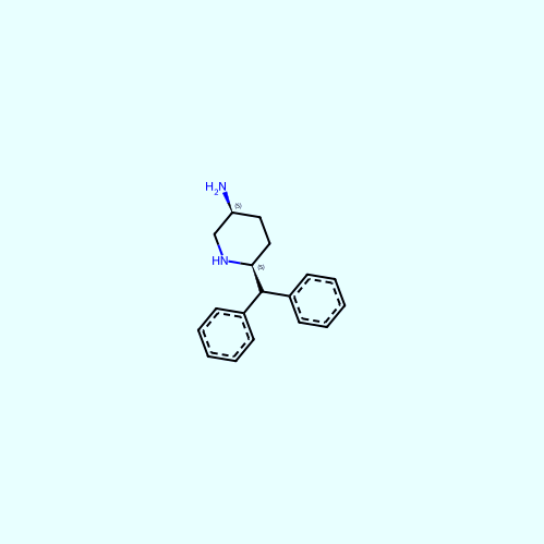 N[C@H]1CC[C@@H](C(c2ccccc2)c2ccccc2)NC1